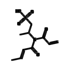 C=CC(=O)N(C(=O)C=CC)C(C)CS(=O)(=O)O